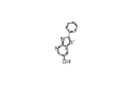 Oc1cnc2c(c1)=[N+]=C(c1ccccc1)N=2